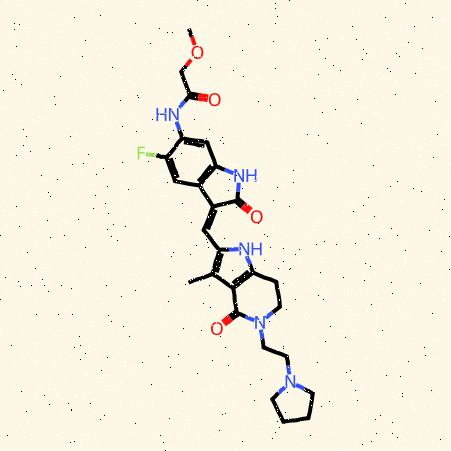 COCC(=O)Nc1cc2c(cc1F)/C(=C/c1[nH]c3c(c1C)C(=O)N(CCN1CCCC1)CC3)C(=O)N2